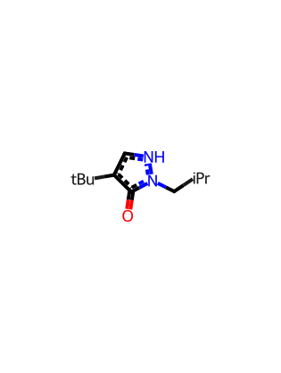 CC(C)Cn1[nH]cc(C(C)(C)C)c1=O